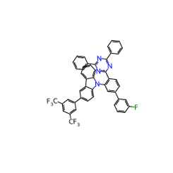 Fc1cccc(-c2ccc(-c3nc(-c4ccccc4)nc(-c4ccccc4)n3)c(-n3c4ccccc4c4cc(-c5cc(C(F)(F)F)cc(C(F)(F)F)c5)ccc43)c2)c1